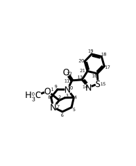 COC1CC2CCN1CCN2C(=O)c1nsc2ccccc12